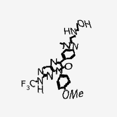 COc1ccc(-n2c(=O)c(-c3ccc4nc(CCNCCO)n(C)c4c3)nc3cnc(NCC(F)(F)F)nc32)cc1